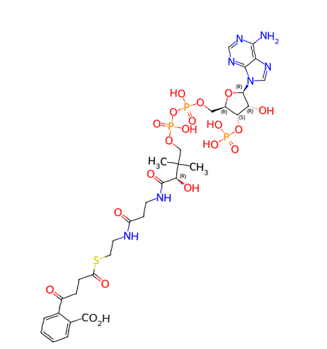 CC(C)(COP(=O)(O)OP(=O)(O)OC[C@H]1O[C@@H](n2cnc3c(N)ncnc32)[C@H](O)[C@@H]1OP(=O)(O)O)[C@@H](O)C(=O)NCCC(=O)NCCSC(=O)CCC(=O)c1ccccc1C(=O)O